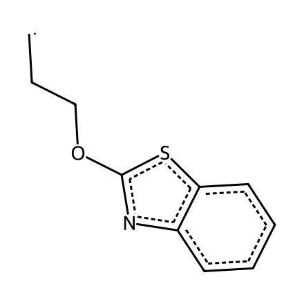 [CH2]CCOc1nc2ccccc2s1